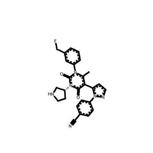 Cc1c(-c2ccnn2-c2ccc(C#N)cc2)c(=O)n([C@@H]2CCNC2)c(=O)n1-c1cccc(CF)c1